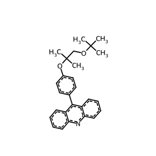 CC(C)(C)OCC(C)(C)Oc1ccc(-c2c3ccccc3nc3ccccc23)cc1